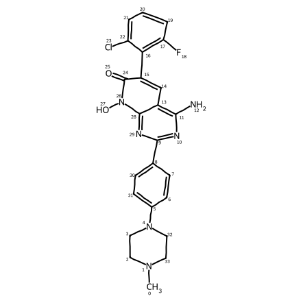 CN1CCN(c2ccc(-c3nc(N)c4cc(-c5c(F)cccc5Cl)c(=O)n(O)c4n3)cc2)CC1